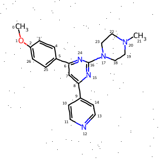 COc1ccc(-c2cc(-c3ccncc3)nc(N3CCN(C)CC3)n2)cc1